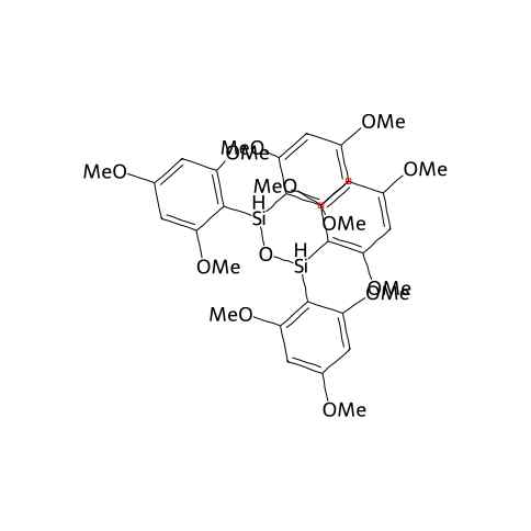 COc1cc(OC)c([SiH](O[SiH](c2c(OC)cc(OC)cc2OC)c2c(OC)cc(OC)cc2OC)c2c(OC)cc(OC)cc2OC)c(OC)c1